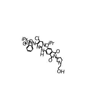 CC(C)Oc1cc2c(cc1Nc1ncc(Cl)c(Nc3ccccc3S(=O)(=O)C(C)C)n1)C(=O)N([C@H]1CCN(CCO)C1)C2=O